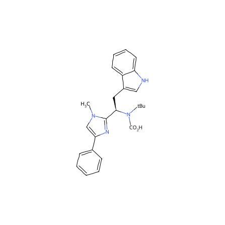 Cn1cc(-c2ccccc2)nc1[C@@H](Cc1c[nH]c2ccccc12)N(C(=O)O)C(C)(C)C